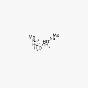 O.O.[Mo].[Mo].[Na+].[Na+].[OH-].[OH-]